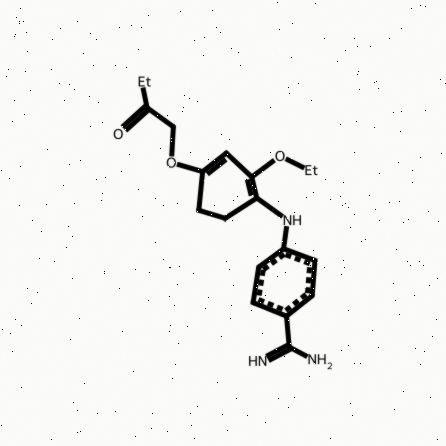 CCOC1=C(Nc2ccc(C(=N)N)cc2)[CH]CC(OCC(=O)CC)=C1